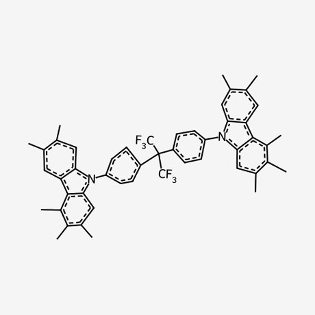 Cc1cc2c3c(C)c(C)c(C)cc3n(-c3ccc(C(c4ccc(-n5c6cc(C)c(C)cc6c6c(C)c(C)c(C)cc65)cc4)(C(F)(F)F)C(F)(F)F)cc3)c2cc1C